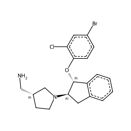 NC[C@H]1CCN([C@@H]2Cc3ccccc3[C@H]2Oc2ccc(Br)cc2Cl)C1